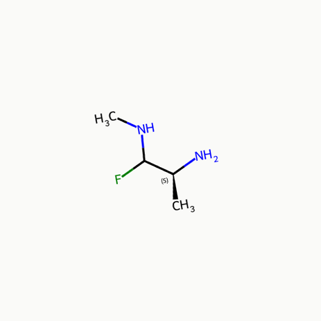 CNC(F)[C@H](C)N